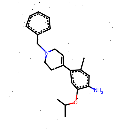 Cc1cc(N)c(OC(C)C)cc1C1=CCN(Cc2ccccc2)CC1